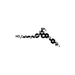 Nc1nc2c(c(N3CCN(CCOCCSCC(=O)O)CC3)n1)CCc1cc(OCc3ccc(OC(F)(F)F)cc3)ccc1-2